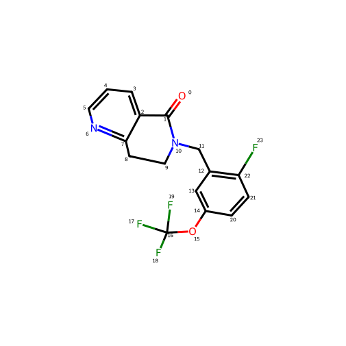 O=C1c2cccnc2CCN1Cc1cc(OC(F)(F)F)ccc1F